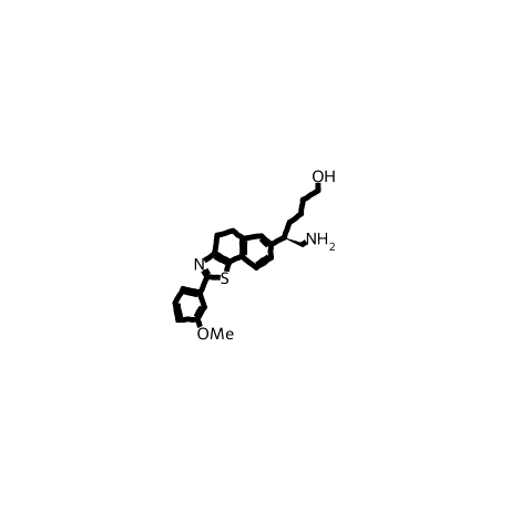 COc1cccc(-c2nc3c(s2)-c2ccc([C@H](CN)CCCCO)cc2CC3)c1